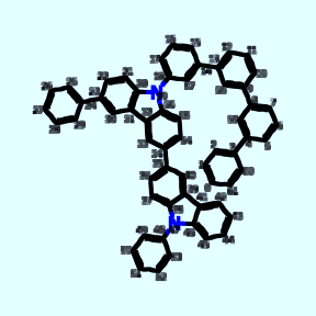 c1ccc(-c2cccc(-c3cccc(-c4cccc(-n5c6ccc(-c7ccccc7)cc6c6cc(-c7ccc8c(c7)c7ccccc7n8-c7ccccc7)ccc65)c4)c3)c2)cc1